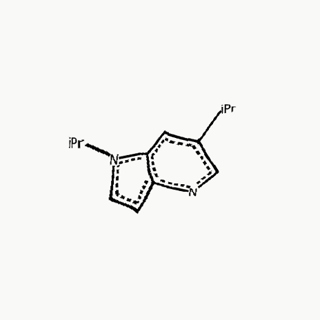 CC(C)c1cnc2ccn(C(C)C)c2c1